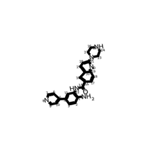 Nc1ccc(-c2ccncc2)cc1NC(=O)c1ccc2nc(N3CCNCC3)ccc2c1